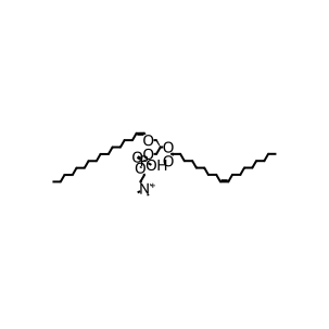 CCCCCCCC/C=C\CCCCCCCC(=O)O[C@H](CO/C=C\CCCCCCCCCCCCCC)COP(=O)(O)OCC[N+](C)(C)C